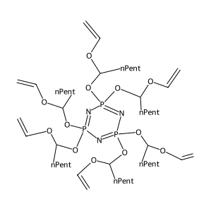 C=COC(CCCCC)OP1(OC(CCCCC)OC=C)=NP(OC(CCCCC)OC=C)(OC(CCCCC)OC=C)=NP(OC(CCCCC)OC=C)(OC(CCCCC)OC=C)=N1